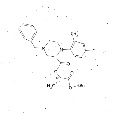 Cc1cc(F)ccc1N1CCN(Cc2ccccc2)CC1C(=O)O[C@@H](C)C(=O)OC(C)(C)C